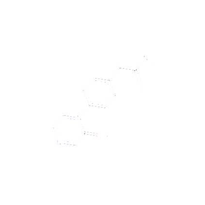 NC(=O)Cc1ccc(-n2ccncc2=O)cc1